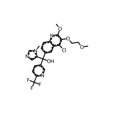 COCCOc1c(OC)nc2ccc(C(O)(c3ccc(C(F)(F)F)nc3)c3cncn3C)cc2c1Cl